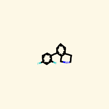 Fc1ccc(-c2cccc3c2CNCC3)c(F)c1